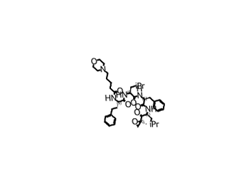 CC(C)C[C@H](NC(=O)[C@H](CCc1ccccc1)NC(=O)CCCCN1CCOCC1)C(=O)N[C@@H](Cc1ccccc1)C(=O)N[C@@H](CC(C)C)C(=O)[C@@]1(C)CO1